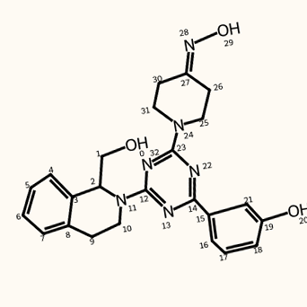 OCC1c2ccccc2CCN1c1nc(-c2cccc(O)c2)nc(N2CCC(=NO)CC2)n1